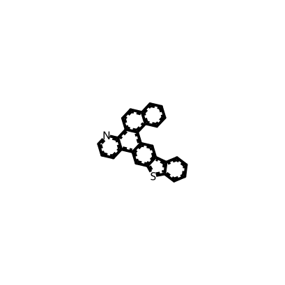 c1ccc2c(c1)ccc1c3ncccc3c3cc4sc5ccccc5c4cc3c21